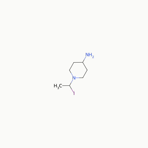 CC(I)N1CCC(N)CC1